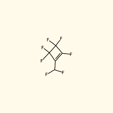 FC1=C(C(F)F)C(F)(F)C1(F)F